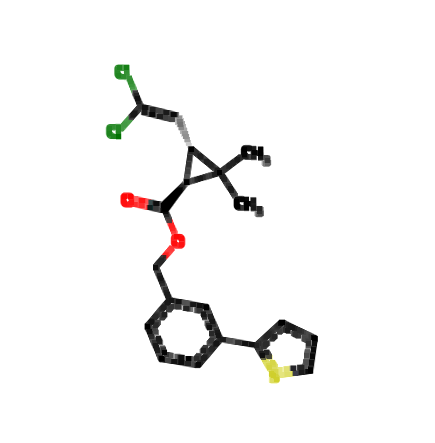 CC1(C)[C@@H](C=C(Cl)Cl)[C@@H]1C(=O)OCc1cccc(-c2cccs2)c1